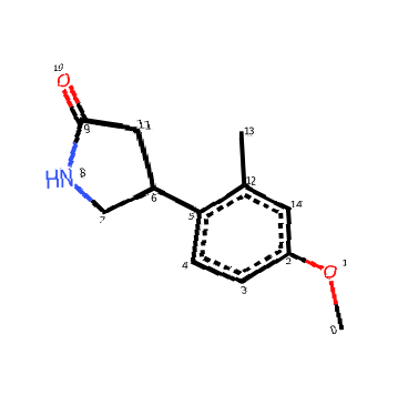 COc1ccc(C2CNC(=O)C2)c(C)c1